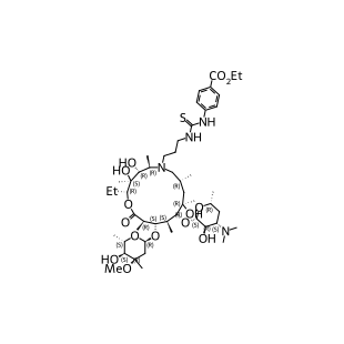 CCOC(=O)c1ccc(NC(=S)NCCCN2C[C@H](C)C[C@@](C)(O)[C@H](O[C@@H]3O[C@H](C)C[C@H](N(C)C)[C@H]3O)[C@@H](C)[C@H](O[C@H]3C[C@@](C)(OC)[C@@H](O)[C@H](C)O3)[C@@H](C)C(=O)O[C@H](CC)[C@@](C)(O)[C@H](O)[C@H]2C)cc1